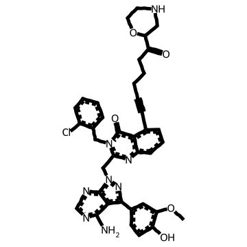 COc1cc(-c2nn(Cc3nc4cccc(C#CCCCC(=O)C5CNCCO5)c4c(=O)n3Cc3ccccc3Cl)c3ncnc(N)c23)ccc1O